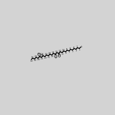 CCCCCCCCCCCCCC(=O)CC(=O)CCCCCCCCC(O)CCCCC